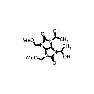 COCN1C(=O)N(C(C)O)C2C1N(COC)C(=O)N2C(C)O